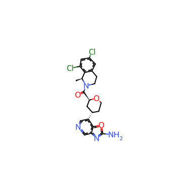 C[C@H]1c2c(Cl)cc(Cl)cc2CCN1C(=O)[C@@H]1C[C@@H](c2cncc3nc(N)oc23)CCO1